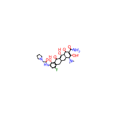 CN(C)[C@@H]1C(O)=C(C(N)=O)C(=O)C2C(O)=C3C(=O)c4c(O)c(NC(=O)CN5CCCC5)cc(F)c4CC3CC21